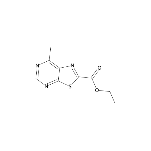 CCOC(=O)c1nc2c(C)ncnc2s1